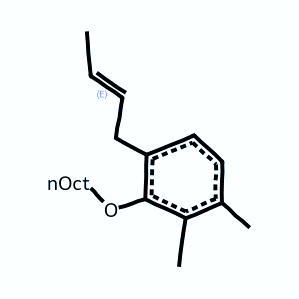 C/C=C/Cc1ccc(C)c(C)c1OCCCCCCCC